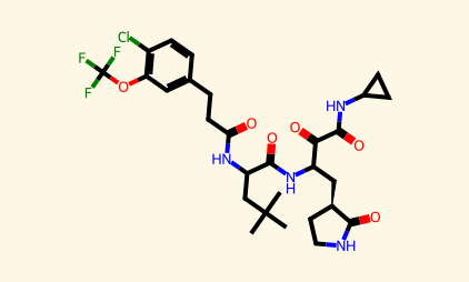 CC(C)(C)CC(NC(=O)CCc1ccc(Cl)c(OC(F)(F)F)c1)C(=O)NC(C[C@@H]1CCNC1=O)C(=O)C(=O)NC1CC1